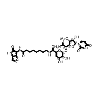 CO[C@H]1[C@@H](O)[C@H](n2ccc(=O)[nH]c2=O)O[C@@H]1[C@@H](O[C@H]1OC(C(=O)NCCCCCCCC(=O)Nc2c3sscc-3[nH]c2=O)=C[C@H](O)[C@@H]1O)C(N)=O